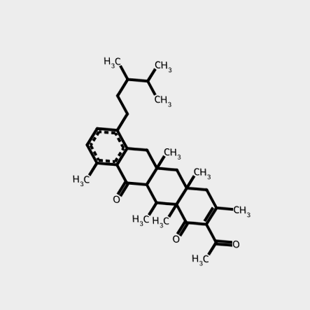 CC(=O)C1=C(C)CC2(C)CC3(C)Cc4c(CCC(C)C(C)C)ccc(C)c4C(=O)C3C(C)C2(C)C1=O